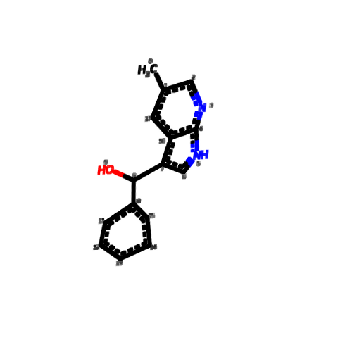 Cc1cnc2[nH]cc(C(O)c3ccccc3)c2c1